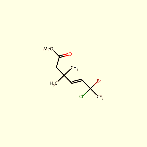 COC(=O)CC(C)(C)C=CC(Cl)(Br)C(F)(F)F